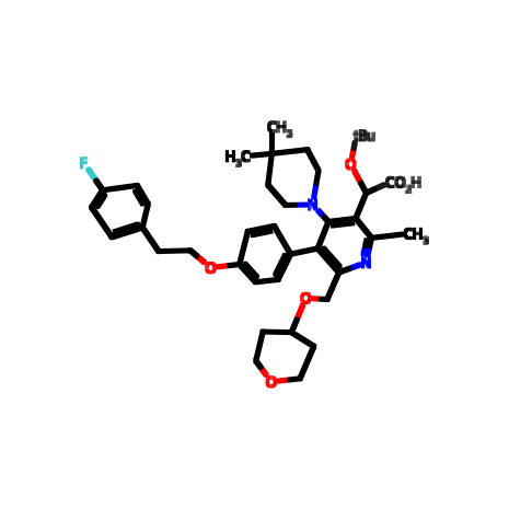 Cc1nc(COC2CCOCC2)c(-c2ccc(OCCc3ccc(F)cc3)cc2)c(N2CCC(C)(C)CC2)c1C(OC(C)(C)C)C(=O)O